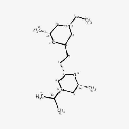 CCN1C[C@@H](CC[C@H]2CN(C(C)C)C[C@@H](C)O2)O[C@H](C)C1